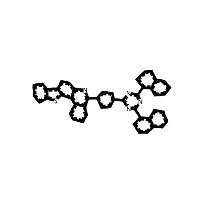 c1ccc2c(-c3nc(-c4ccc(-c5nc6ccc7c8ccccc8sc7c6c6ccccc56)cc4)nc(-c4cccc5ccccc45)n3)cccc2c1